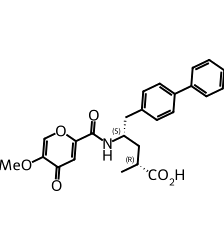 COc1coc(C(=O)N[C@H](Cc2ccc(-c3ccccc3)cc2)C[C@@H](C)C(=O)O)cc1=O